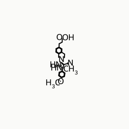 COc1ccc(C2(C)NNC(N3CCc4cc(CCC(=O)O)ccc4C3)=C2C#N)cc1